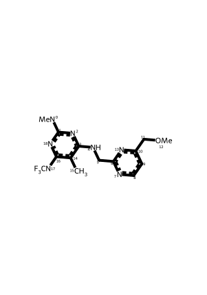 CNc1nc(NCc2nccc(COC)n2)c(C)c(NC(F)(F)F)n1